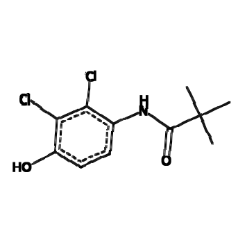 CC(C)(C)C(=O)Nc1ccc(O)c(Cl)c1Cl